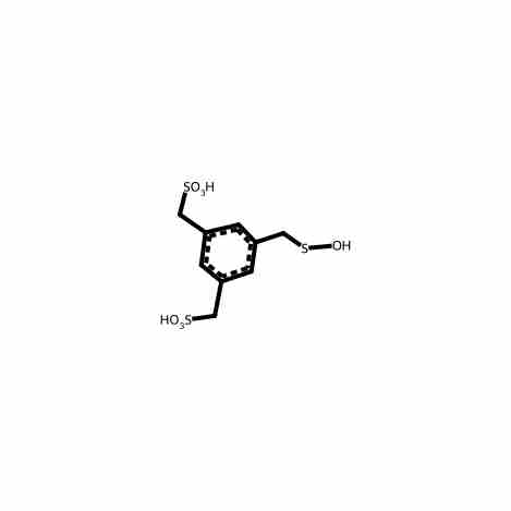 O=S(=O)(O)Cc1cc(CSO)cc(CS(=O)(=O)O)c1